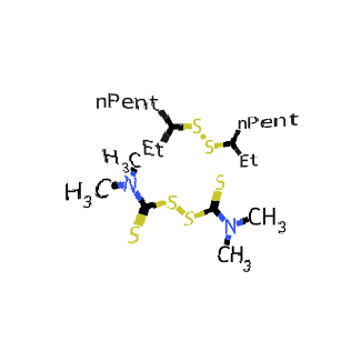 CCCCCC(CC)SSC(CC)CCCCC.CN(C)C(=S)SSC(=S)N(C)C